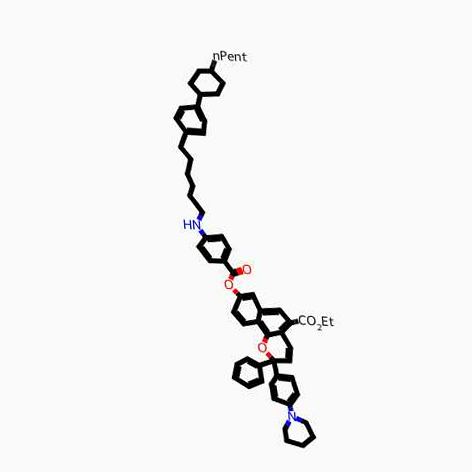 CCCCCC1CCC(c2ccc(CCCCCCNc3ccc(C(=O)Oc4ccc5c6c(c(C(=O)OCC)cc5c4)C=CC(c4ccccc4)(c4ccc(N5CCCCC5)cc4)O6)cc3)cc2)CC1